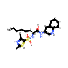 CC(=O)CCCCC[C@H](NS(=O)(=O)c1sc(C)nc1C)C(=O)Nc1cnc2ccccc2c1